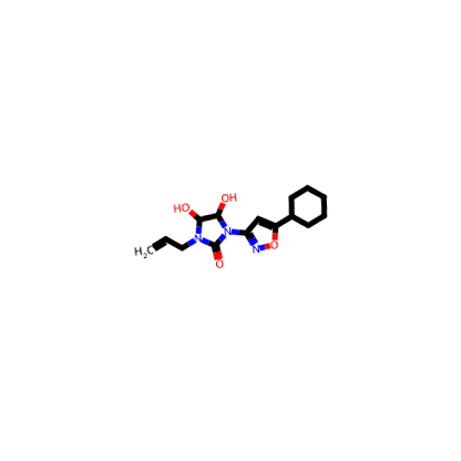 C=CCN1C(=O)N(c2cc(C3CCCCC3)on2)C(O)C1O